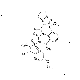 COc1cnc(C(C)C(C)S(=O)(=O)Nc2nnc(-c3cnn4c3CCC4)n2-c2c(OC)cccc2OC)nc1